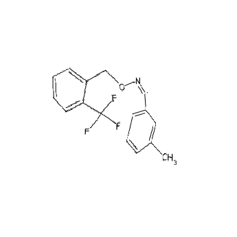 Cc1cccc(/[C]=N\OCc2ccccc2C(F)(F)F)c1